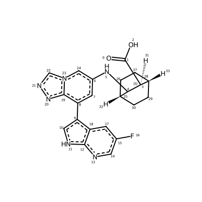 O=C(O)[C@@H]1C(Nc2cc(-c3c[nH]c4ncc(F)cc34)c3nncn3c2)[C@H]2CC[C@@H]1CC2